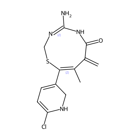 C=C1C(=O)N/C(N)=N\CS/C(C2=CC=C(Cl)NC2)=C\1C